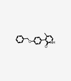 Cc1cc[nH]c(=O)c1-c1ccc(OCc2ccccc2)cc1